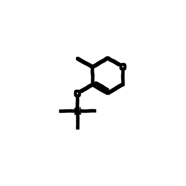 CC1COCC=C1O[Si](C)(C)C